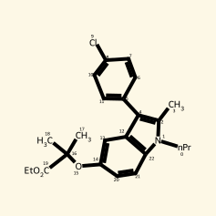 CCCn1c(C)c(-c2ccc(Cl)cc2)c2cc(OC(C)(C)C(=O)OCC)ccc21